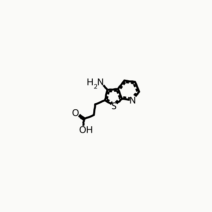 Nc1c(CCC(=O)O)sc2ncccc12